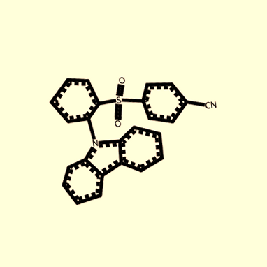 N#Cc1ccc(S(=O)(=O)c2ccccc2-n2c3ccccc3c3ccccc32)cc1